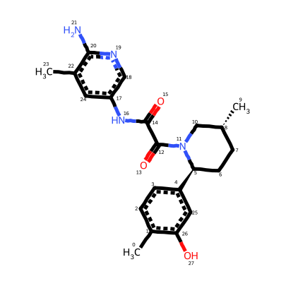 Cc1ccc([C@@H]2CC[C@@H](C)CN2C(=O)C(=O)Nc2cnc(N)c(C)c2)cc1O